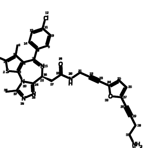 Cc1sc2c(c1C)C(c1ccc(Cl)cc1)=N[C@@H](CC(=O)NCC#Cc1ccc(C#CCCN)o1)c1nnc(C)n1-2